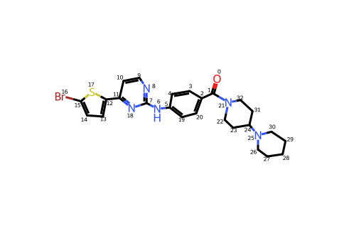 O=C(c1ccc(Nc2nccc(-c3ccc(Br)s3)n2)cc1)N1CCC(N2CCCCC2)CC1